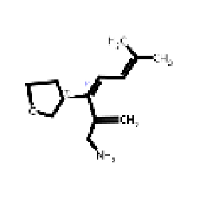 C=C(CN)/C(=C\C=C(C)C)[C@@H]1CCOC1